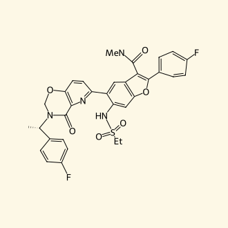 CCS(=O)(=O)Nc1cc2oc(-c3ccc(F)cc3)c(C(=O)NC)c2cc1-c1ccc2c(n1)C(=O)N([C@@H](C)c1ccc(F)cc1)CO2